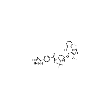 CC(C)c1onc(-c2c(Cl)cccc2Cl)c1COc1ccc(N(C)C(=O)c2ccc(C3=NNNN3)cc2)c(C(F)(F)F)n1